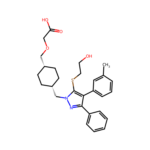 Cc1cccc(-c2c(-c3ccccc3)nn(C[C@H]3CC[C@@H](COCC(=O)O)CC3)c2SCCO)c1